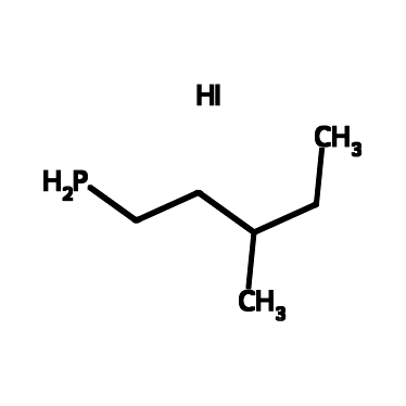 CCC(C)CCP.I